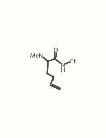 C=CCCC(NC)C(=O)NCC